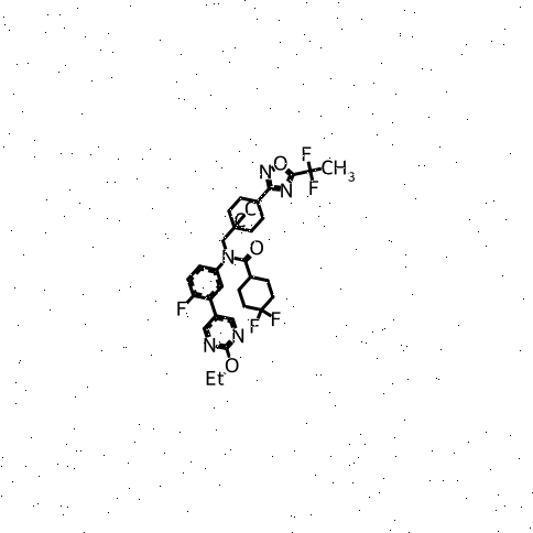 CCOc1ncc(-c2cc(N(CC34CCC(c5noc(C(C)(F)F)n5)(CC3)CC4)C(=O)C3CCC(F)(F)CC3)ccc2F)cn1